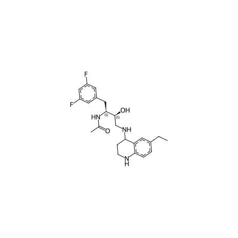 CCc1ccc2c(c1)C(NC[C@H](O)[C@H](Cc1cc(F)cc(F)c1)NC(C)=O)CCN2